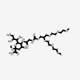 COCCOCCOCC(COC(=O)NCC(=O)NC1C(O)CC(OC)(C(=O)O)OC1C(O)C(O)CO)OCCOCCOC